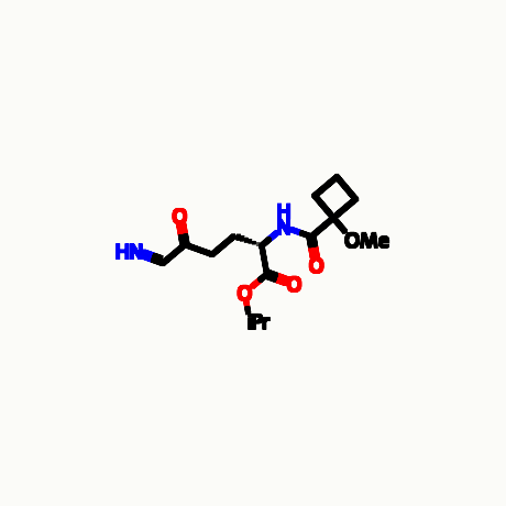 COC1(C(=O)N[C@@H](CCC(=O)C=N)C(=O)OC(C)C)CCC1